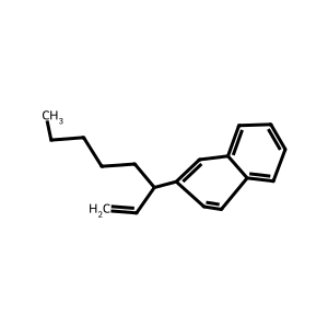 C=CC(CCCCC)c1ccc2ccccc2c1